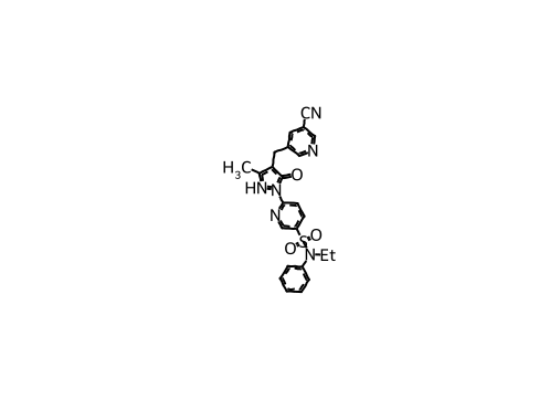 CCN(c1ccccc1)S(=O)(=O)c1ccc(-n2[nH]c(C)c(Cc3cncc(C#N)c3)c2=O)nc1